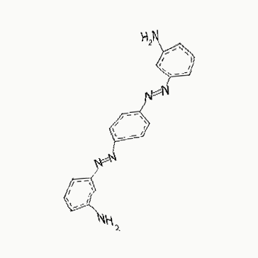 Nc1cccc(N=Nc2ccc(N=Nc3cccc(N)c3)cc2)c1